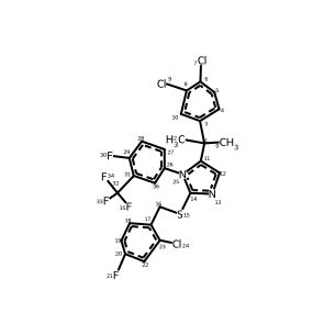 CC(C)(c1ccc(Cl)c(Cl)c1)c1cnc(SCc2ccc(F)cc2Cl)n1-c1ccc(F)c(C(F)(F)F)c1